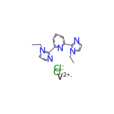 CCn1ccnc1-c1cccc(-c2nccn2CC)n1.[Cl-].[Cl-].[V+2]